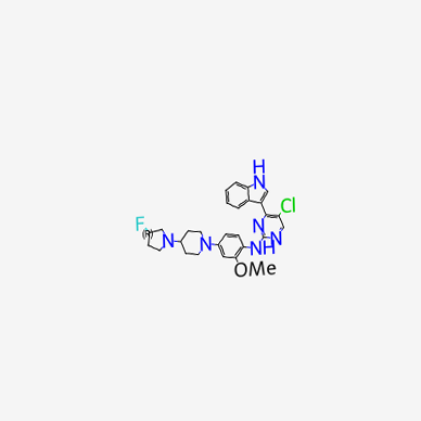 COc1cc(N2CCC(N3CC[C@@H](F)C3)CC2)ccc1Nc1ncc(Cl)c(-c2c[nH]c3ccccc23)n1